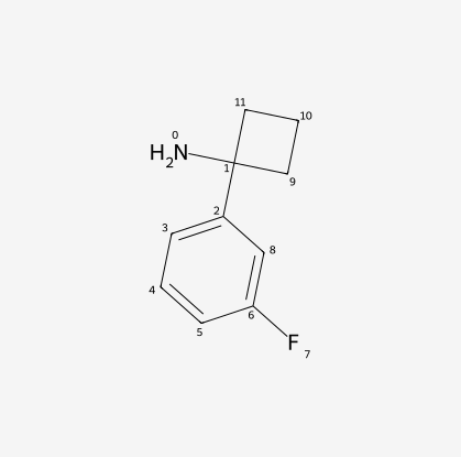 NC1(c2cccc(F)c2)CCC1